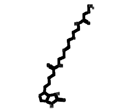 COCC(=O)NCCOCCOCCNC(=O)CCCCC1SCC2NC(=O)NC21